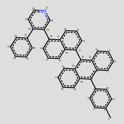 Cc1ccc(-c2c3ccccc3c(-c3cccc4c(-c5cnccc5-c5ccccc5)cccc34)c3ccccc23)cc1